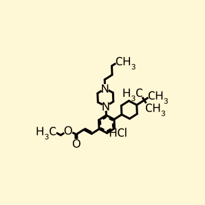 CCCCN1CCN(c2cc(C=CC(=O)OCC)ccc2C2CCC(C(C)(C)C)CC2)CC1.Cl